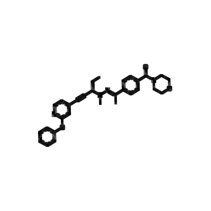 C/C=C(/C#Cc1ccnc(Oc2ccccc2)c1)N(C)/N=C(\C)c1ccc(C(=O)N2CCOCC2)cc1